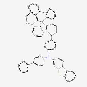 CC1C=c2cccc3c2=C(C1)[C@](C1=CC(c2ccc(N(C4=CC5Sc6ccccc6C5C=C4)C4C=CC(c5ccccc5)=CC4)cc2)CC=C1)(C1C=CC=CC1)c1ccccc1-3